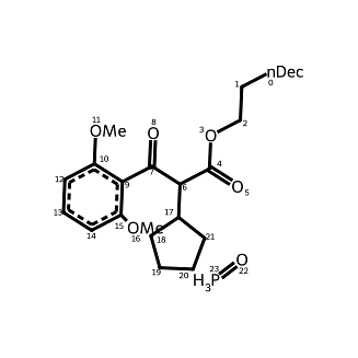 CCCCCCCCCCCCOC(=O)C(C(=O)c1c(OC)cccc1OC)C1CCCC1.O=[PH3]